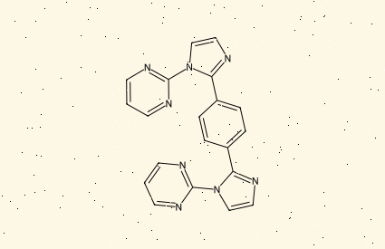 c1cnc(-n2ccnc2-c2ccc(-c3nccn3-c3ncccn3)cc2)nc1